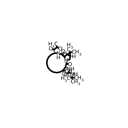 CC(=O)C(=O)[C@@H]1CCCCCCCCCC(C)(C)[C@H](NC(=O)NC(C)(C)C)C(=O)N2C[C@H]3C([C@H]2C(=O)N1)C3(C)C